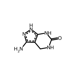 Nc1n[nH]c2c1CNC(=O)N2